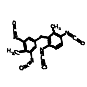 Cc1c(N=C=O)cc(Cc2c(N=C=O)ccc(N=C=O)c2C)cc1N=C=O